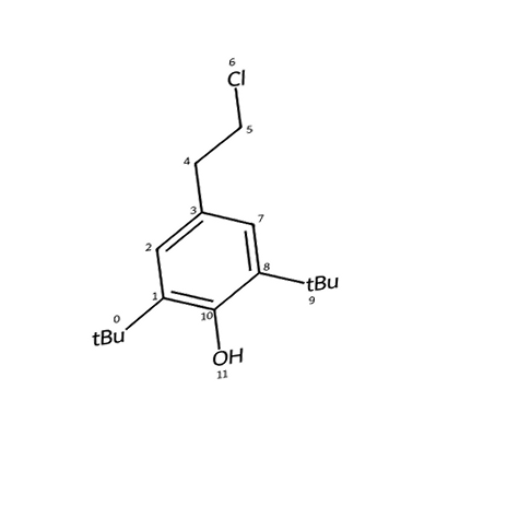 CC(C)(C)c1cc(CCCl)cc(C(C)(C)C)c1O